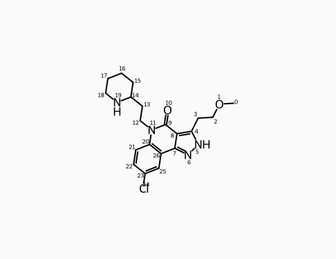 COCCc1[nH]nc2c1c(=O)n(CCC1CCCCN1)c1ccc(Cl)cc21